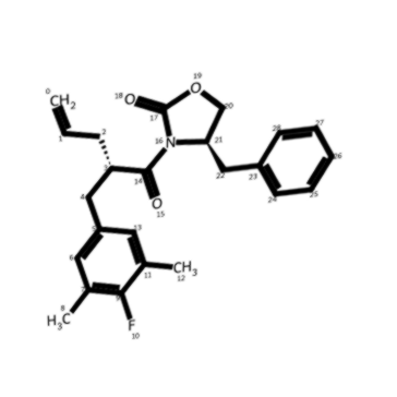 C=CC[C@@H](Cc1cc(C)c(F)c(C)c1)C(=O)N1C(=O)OC[C@H]1Cc1ccccc1